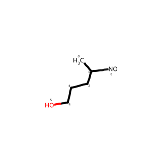 CC(CCCO)N=O